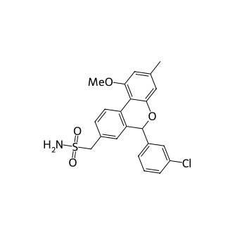 COc1cc(C)cc2c1-c1ccc(CS(N)(=O)=O)cc1C(c1cccc(Cl)c1)O2